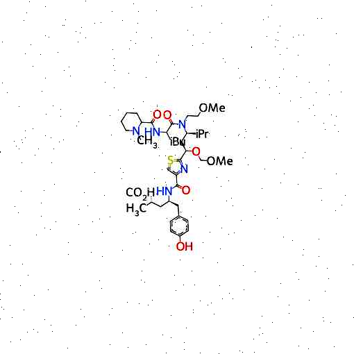 CCC(C)C(NC(=O)C1CCCCN1C)C(=O)N(CCOC)[C@H](C[C@@H](OCOC)c1nc(C(=O)N[C@@H](Cc2ccc(O)cc2)C[C@H](C)C(=O)O)cs1)C(C)C